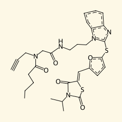 C#CCN(CC(=O)NCCCn1c(Sc2ccc(/C=C3\SC(=O)N(C(C)C)C3=O)o2)nc2ccccc21)C(=O)CCCC